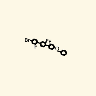 Fc1cc(Br)ccc1-c1ccc(-c2ccc(OCc3ccccc3)cc2F)c(F)c1